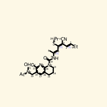 CC/C=C/C(C#N)=C(\C=C(/C)NC(=O)N1CCCc2cc(CN(C)C(C)=O)c(C=O)nc21)SC(C)C